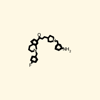 Nc1cccc(CN2CCC(CCC(=O)c3ccc4c(c3)CN(Cc3ccc(F)cc3)CCC4)CC2)c1